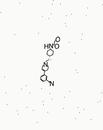 COCC(=O)N[C@H]1CC[C@H](CCN2CC=C(c3cccc(C#N)c3)CC2)CC1